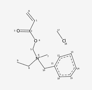 C=CC(=O)OC[N+](C)(CC)Cc1ccccc1.CCl